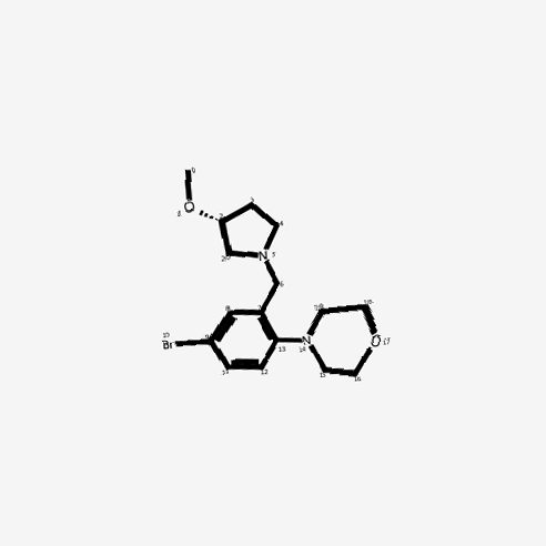 CO[C@@H]1CCN(Cc2cc(Br)ccc2N2CCOCC2)C1